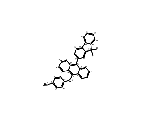 CC(C)(C)c1ccc(Oc2c3ccccc3c(-c3ccc4c(c3)C(C)(C)c3ccccc3-4)c3cnccc23)cc1